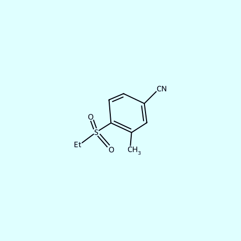 CCS(=O)(=O)c1ccc(C#N)cc1C